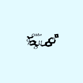 COCC(C)Oc1ccc(C(=O)NCc2ccc3c(c2)CCN(C2CCC2)CC3)cn1